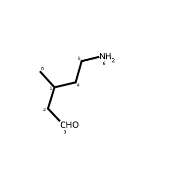 CC(CC=O)CCN